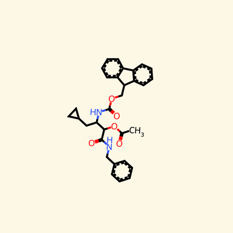 CC(=O)OC(C(=O)NCc1ccccc1)C(CC1CC1)NC(=O)OCC1c2ccccc2-c2ccccc21